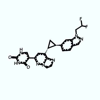 O=c1[nH]cc(-c2cc([C@@H]3C[C@H]3c3ccc4cnn(CC(F)F)c4c3)c3nccn3n2)c(=O)[nH]1